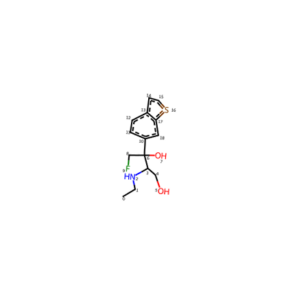 CCNC(CO)C(O)(CF)c1ccc2ccsc2c1